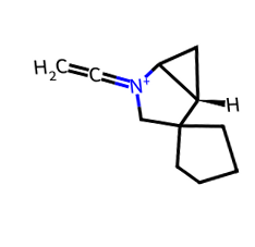 C=C=[N+]1CC2(CCCC2)[C@H]2CC21